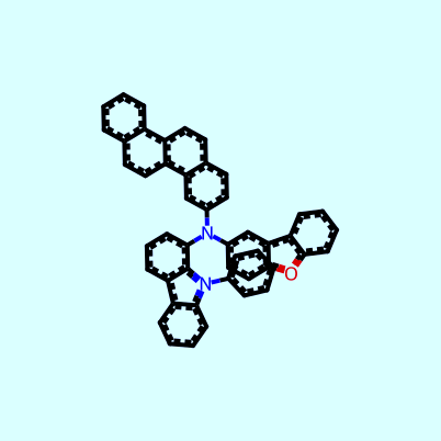 c1ccc(-n2c3ccccc3c3cccc(N(c4ccc5ccc6c7ccccc7ccc6c5c4)c4ccc5oc6ccccc6c5c4)c32)cc1